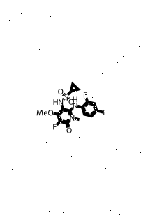 COc1c(NS(=O)(=O)C2CC2)c(Nc2ccc(I)cc2F)n(C)c(=O)c1F